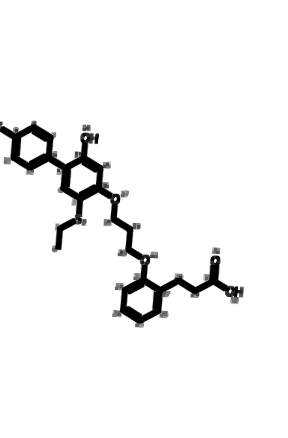 CCSc1cc(-c2ccc(F)cc2)c(O)cc1OCCCOc1ccccc1CCC(=O)O